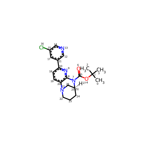 CC(C)(C)OC(=O)N1c2nc(-c3cncc(Cl)c3)ccc2N2CCC[C@H]1C2